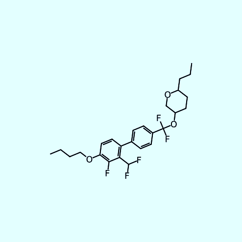 CCCCOc1ccc(-c2ccc(C(F)(F)OC3CCC(CCC)OC3)cc2)c(C(F)F)c1F